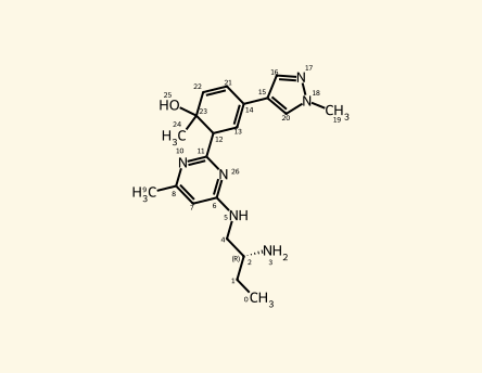 CC[C@@H](N)CNc1cc(C)nc(C2C=C(c3cnn(C)c3)C=CC2(C)O)n1